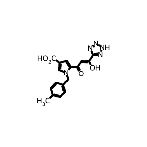 Cc1ccc(Cn2cc(C(=O)O)cc2C(=O)C=C(O)c2nn[nH]n2)cc1